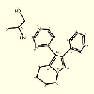 C[C@@H](CO)Nc1nccc(-c2c(-c3ccccc3)nn3c2CCCC3)n1